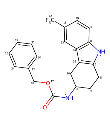 O=C(NC1CCc2[nH]c3ccc(C(F)(F)F)cc3c2C1)OCc1ccccc1